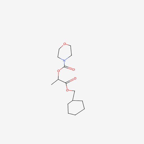 CC(OC(=O)N1CCOCC1)C(=O)OCC1CCCCC1